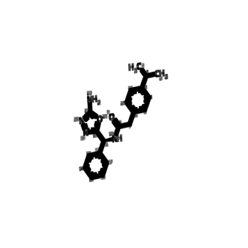 CC(C)c1ccc(CC(=O)N[C@@H](c2ccccc2)c2nnc(N)o2)cc1